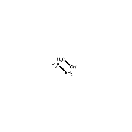 BB.CO